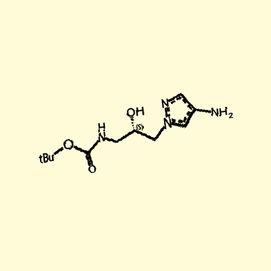 CC(C)(C)OC(=O)NC[C@H](O)Cn1cc(N)cn1